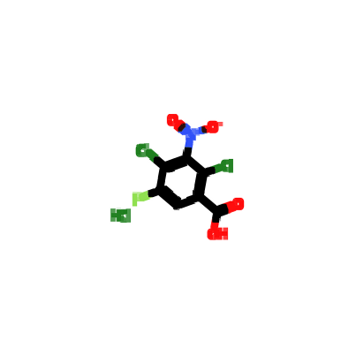 Cl.O=C(O)c1cc(F)c(Cl)c([N+](=O)[O-])c1Cl